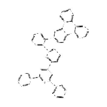 c1ccc(-c2cc(-c3cccc(-c4ccccc4-c4ccc5c6ccccc6c6ccccc6c5c4)c3)nc(-c3ccccc3)n2)cc1